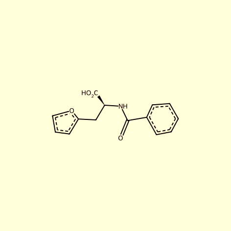 O=C(N[C@@H](Cc1ccco1)C(=O)O)c1ccccc1